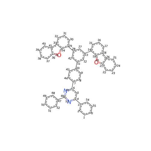 c1ccc(-c2cc(-c3ccc(-c4cc(-c5cccc6c5oc5ccccc56)cc(-c5cccc6c5oc5ccccc56)c4)cc3)nc(-c3ccccc3)n2)cc1